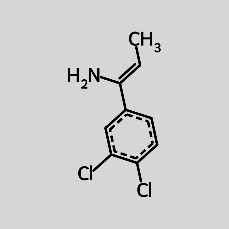 C/C=C(\N)c1ccc(Cl)c(Cl)c1